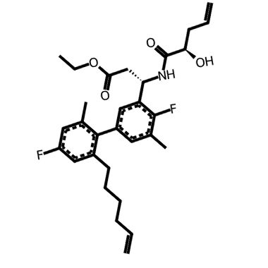 C=CCCCCc1cc(F)cc(C)c1-c1cc(C)c(F)c([C@H](CC(=O)OCC)NC(=O)[C@H](O)CC=C)c1